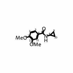 COc1ccc(C(=O)NC2CC2)cc1OC